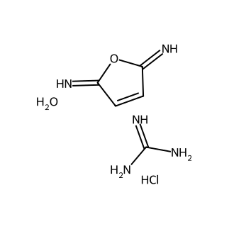 Cl.N=C(N)N.N=C1C=CC(=N)O1.O